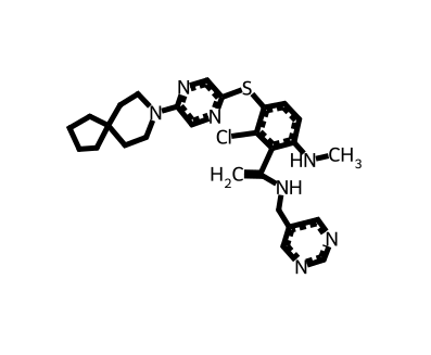 C=C(NCc1cncnc1)c1c(NC)ccc(Sc2cnc(N3CCC4(CCCC4)CC3)cn2)c1Cl